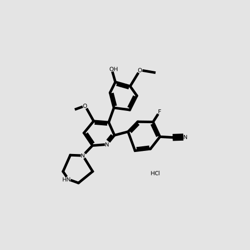 COc1ccc(-c2c(OC)cc(N3CCNCC3)nc2-c2ccc(C#N)c(F)c2)cc1O.Cl